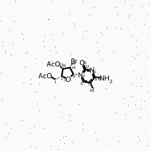 CC(=O)OC[C@H]1O[C@@H](n2cc(I)c(N)nc2=O)[C@@H](Br)[C@@H]1OC(C)=O